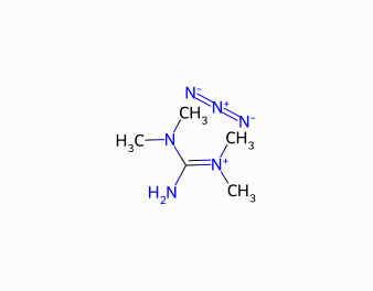 CN(C)C(N)=[N+](C)C.[N-]=[N+]=[N-]